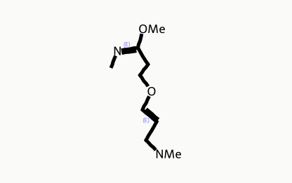 C/N=C(\CCO/C=C/CNC)OC